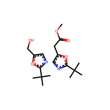 CC(C)(C)c1ncc(CO)o1.COC(=O)Cc1cnc(C(C)(C)C)o1